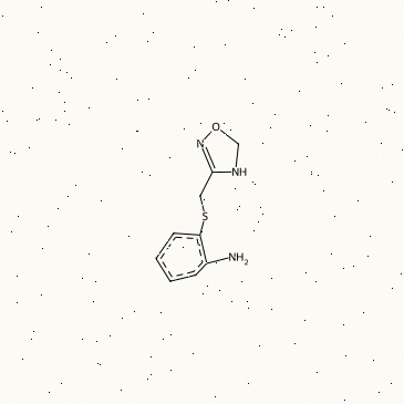 Nc1ccccc1SCC1=NOCN1